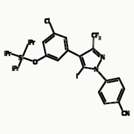 CC(C)[Si](Oc1cc(Cl)cc(-c2c(C(F)(F)F)nn(-c3ccc(C#N)cc3)c2I)c1)(C(C)C)C(C)C